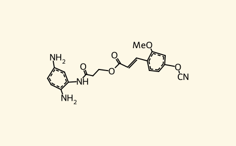 COc1cc(OC#N)ccc1/C=C/C(=O)OCCC(=O)Nc1cc(N)ccc1N